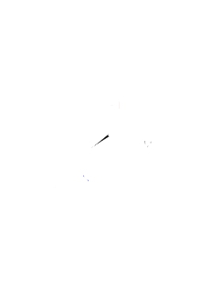 COC(O)[C@@H]1CCCN1